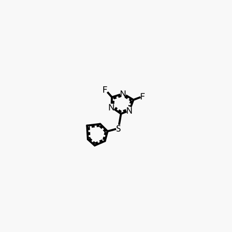 Fc1nc(F)nc(Sc2ccccc2)n1